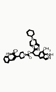 Cc1cc(CC(OC(=O)N2CCC(c3cc4ccccc4[nH]c3=O)CC2)c2ncc3n2CCN(C2CCCCC2)C3)cc2cn[nH]c12